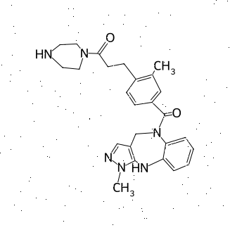 Cc1cc(C(=O)N2Cc3cnn(C)c3Nc3ccccc32)ccc1CCC(=O)N1CCNCC1